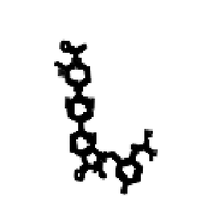 CC(=O)N1CCN(c2ncc(-c3ccc4c(=O)n(C)n(Cc5cc(C)ccc5SC(F)F)c4n3)cn2)C[C@H]1C